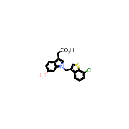 Bc1ccc2c(CC(=O)O)cn(Cc3csc4c(Cl)cccc34)c2c1